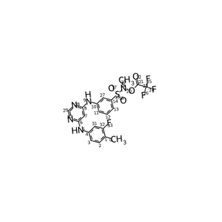 Cc1ccc(Nc2cc(Nc3cccc(S(=O)(=O)N(C)OC(=O)C(F)(F)F)c3)ncn2)cc1F